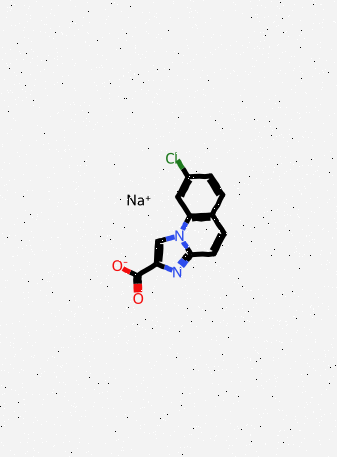 O=C([O-])c1cn2c(ccc3ccc(Cl)cc32)n1.[Na+]